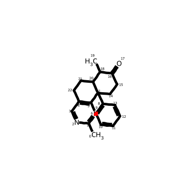 Cc1ncc2c(n1)C1(c3ccccc3)CCC(=O)C(C)C1CC2